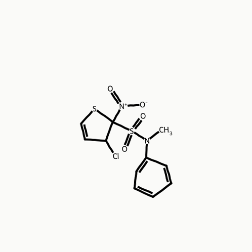 CN(c1ccccc1)S(=O)(=O)C1([N+](=O)[O-])SC=CC1Cl